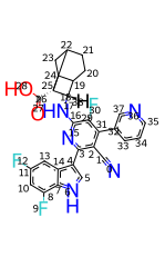 N#Cc1c(-c2c[nH]c3c(F)cc(F)cc23)nc(N[C@H]2C3CCC4CC3[C@@]42C(=O)O)c(F)c1-c1cccnc1